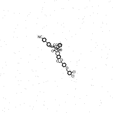 COc1ccccc1S(=O)(=O)N1Cc2cc3c(cc2CC1C(=O)NC(Cc1ccc(-c2ccc(C#N)cc2)cc1)C(=O)O)OCC(c1ccc(OCc2ccc(Cl)c(Cl)c2)cc1)O3